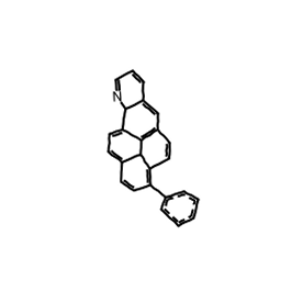 C1=CC2=CC3=C4C(=CC=C5C=CC(c6ccccc6)=C(C=C3)C54)C2N=C1